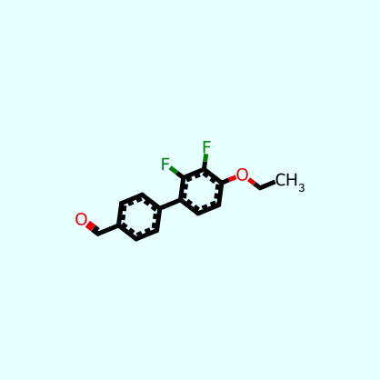 CCOc1ccc(-c2ccc(C=O)cc2)c(F)c1F